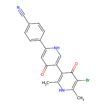 Cc1[nH]c(C)c(-c2c[nH]c(-c3ccc(C#N)cc3)cc2=O)c(=O)c1Br